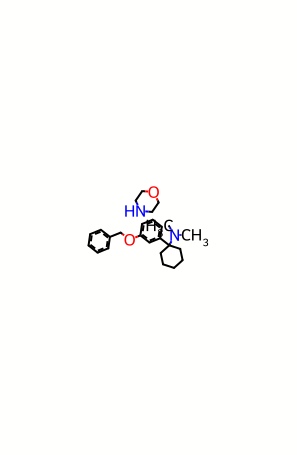 C1COCCN1.CN(C)C1(c2cccc(OCc3ccccc3)c2)CCCCC1